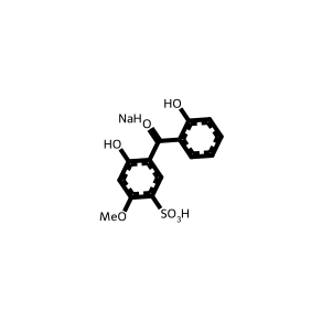 COc1cc(O)c(C(=O)c2ccccc2O)cc1S(=O)(=O)O.[NaH]